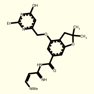 CCc1nc(O)cc(COc2cc(C(=O)NC(=N)/C=C\NC)cc3c2CC(C)(C)O3)n1